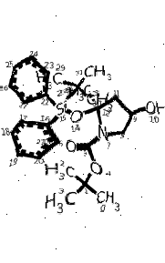 CC(C)(C)OC(=O)N1CC(O)C[C@]1(C)O[Si](c1ccccc1)(c1ccccc1)C(C)(C)C